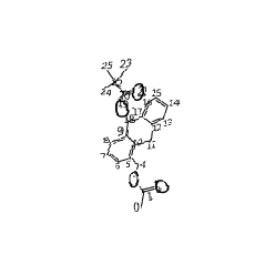 CC(=O)OCc1cccc2c1Cc1ccccc1C2OC(=O)C(C)(C)C